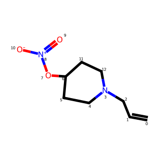 C=CCN1CCC(O[N+](=O)[O-])CC1